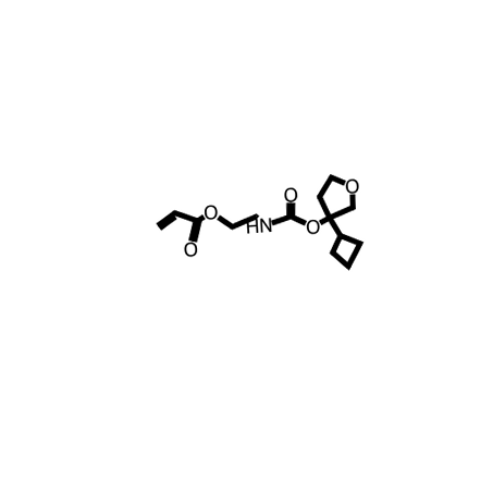 C=CC(=O)OCCNC(=O)OC1(C2CCC2)CCOC1